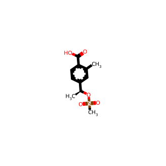 Cc1cc([C@H](C)OS(C)(=O)=O)ccc1C(=O)O